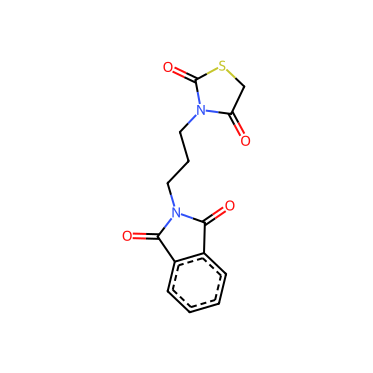 O=C1CSC(=O)N1CCCN1C(=O)c2ccccc2C1=O